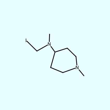 CN1CCC(N(C)CI)CC1